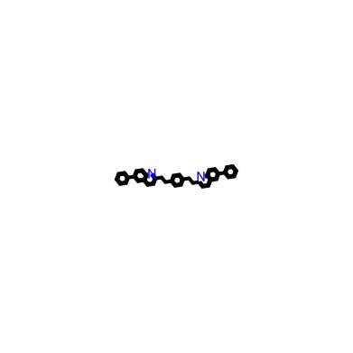 c1ccc(-c2ccc3nc(CCc4ccc(CCc5ccc6cc(-c7ccccc7)ccc6n5)cc4)ccc3c2)cc1